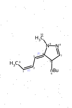 C/C=C\C=C1/C(CCCC)C=NN1C